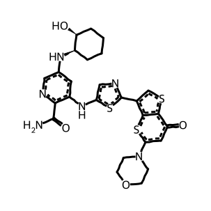 NC(=O)c1ncc(N[C@@H]2CCCC[C@@H]2O)cc1Nc1cnc(-c2csc3c(=O)cc(N4CCOCC4)sc23)s1